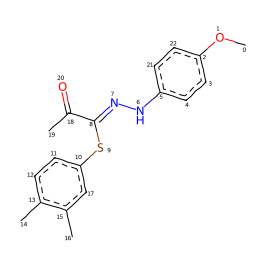 COc1ccc(NN=C(Sc2ccc(C)c(C)c2)C(C)=O)cc1